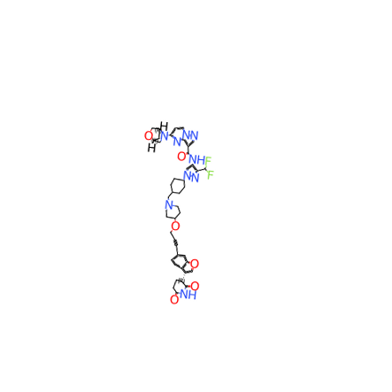 O=C1CC[C@H](c2coc3cc(C#CCOC4CCN(CC5CCC(n6cc(NC(=O)c7cnn8ccc(N9C[C@H]%10C[C@@H]9CO%10)nc78)c(C(F)F)n6)CC5)CC4)ccc23)C(=O)N1